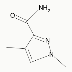 Cc1cn(C)nc1C(N)=O